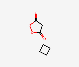 C1CCC1.O=C1CC(=O)OO1